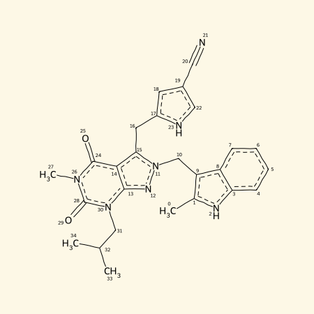 Cc1[nH]c2ccccc2c1Cn1nc2c(c1Cc1cc(C#N)c[nH]1)c(=O)n(C)c(=O)n2CC(C)C